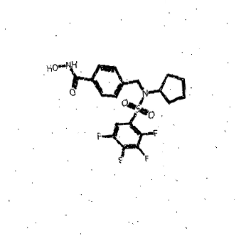 O=C(NO)c1ccc(CN(C2CCCC2)S(=O)(=O)c2cc(F)c(F)c(F)c2F)cc1